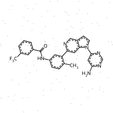 Cc1ccc(NC(=O)c2cccc(C(F)(F)F)c2)cc1-c1cc2c(ccn2-c2cc(N)ncn2)cn1